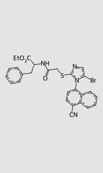 CCOC(=O)C(Cc1ccccc1)NC(=O)CSc1ncc(Br)n1-c1ccc(C#N)c2ccccc12